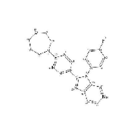 Fc1ccc(-n2c(-c3cnc(N4CCCOCC4)nc3)nc3ccncc32)cc1